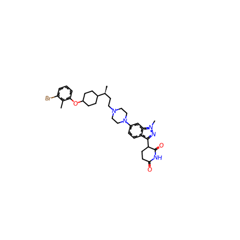 Cc1c(Br)cccc1OC1CCC([C@@H](C)CCN2CCN(c3ccc4c(C5CCC(=O)NC5=O)nn(C)c4c3)CC2)CC1